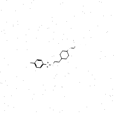 CCOC(=O)COC1CCC(CCNS(=O)(=O)c2ccc(Cl)cc2)CC1